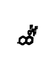 FC(F)(F)Oc1cccc2c1CC[CH]C2